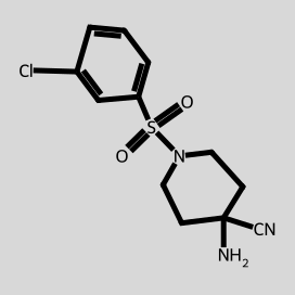 N#CC1(N)CCN(S(=O)(=O)c2cccc(Cl)c2)CC1